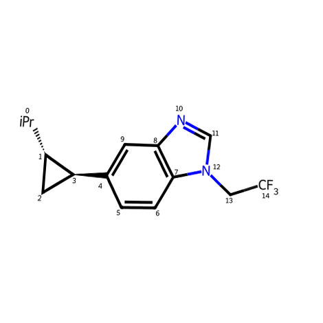 CC(C)[C@H]1C[C@@H]1c1ccc2c(c1)ncn2CC(F)(F)F